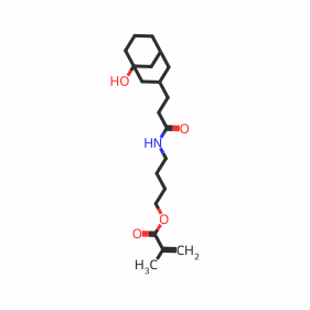 C=C(C)C(=O)OCCCCNC(=O)CCC1CC2CCCC(O)(C2)C1